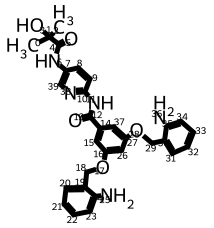 CC(C)(O)C(=O)Nc1ccc(NC(=O)c2cc(OCc3ccccc3N)cc(OCc3ccccc3N)c2)nc1